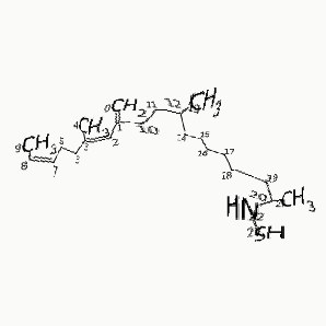 C=C(/C=C(\C)CC/C=C\C)CCC(C)CCCCCCC(C)NS